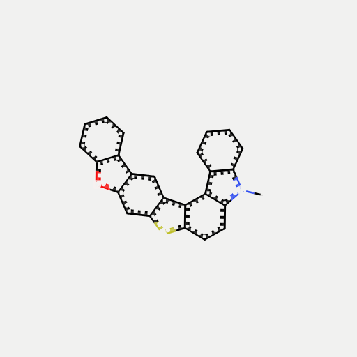 Cn1c2ccccc2c2c3c(ccc21)sc1cc2oc4ccccc4c2cc13